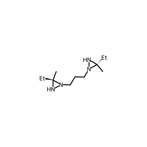 CC[C@@]1(C)NN1CCCN1N[C@@]1(C)CC